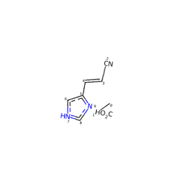 CC(=O)O.N#CC=Cc1c[nH]cn1